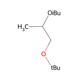 CC(C)COC(C)COC(C)(C)C